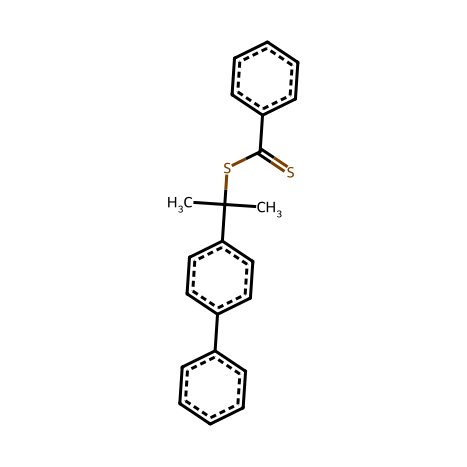 CC(C)(SC(=S)c1ccccc1)c1ccc(-c2ccccc2)cc1